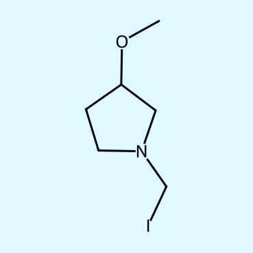 COC1CCN(CI)C1